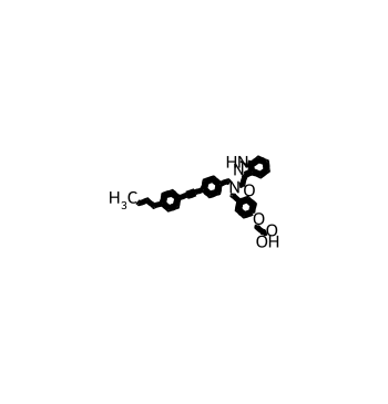 CCCCc1ccc(C#Cc2ccc(CN(Cc3ccc(OCC(=O)O)cc3)C(=O)c3n[nH]c4ccccc34)cc2)cc1